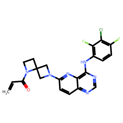 C=CC(=O)N1CCC12CN(c1ccc3ncnc(Nc4ccc(F)c(Cl)c4F)c3n1)C2